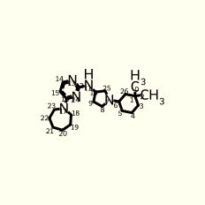 CC1(C)CCCC(N2CCC(Nc3nccc(N4CCCCCC4)n3)C2)C1